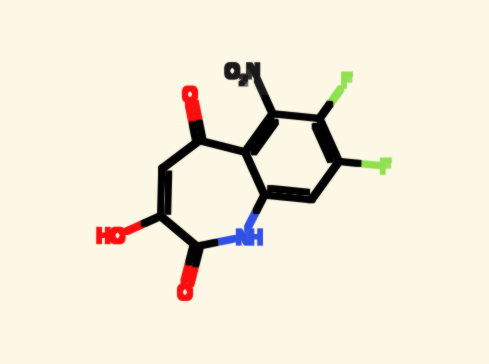 O=c1[nH]c2cc(F)c(F)c([N+](=O)[O-])c2c(=O)cc1O